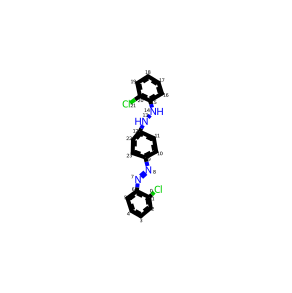 Clc1ccccc1N=Nc1ccc(NNc2ccccc2Cl)cc1